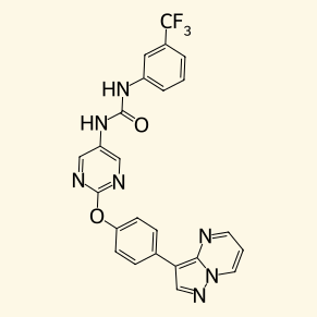 O=C(Nc1cnc(Oc2ccc(-c3cnn4cccnc34)cc2)nc1)Nc1cccc(C(F)(F)F)c1